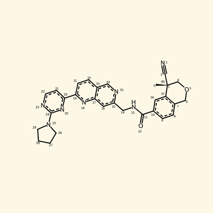 C[C@@]1(C#N)COCc2ccc(C(=O)NCc3cc4nc(-c5ccnc(N6CCCC6)n5)ccc4cn3)cc21